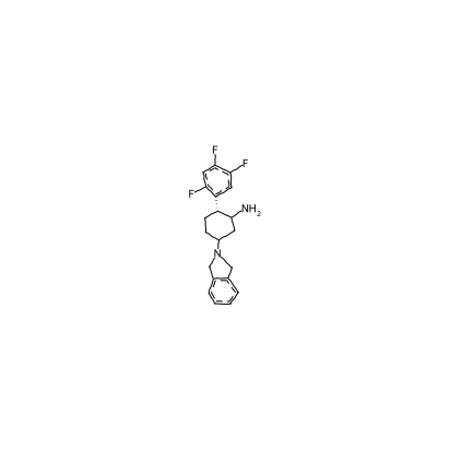 NC1CC(N2Cc3ccccc3C2)CC[C@@H]1c1cc(F)c(F)cc1F